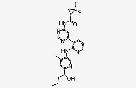 CCC[C@H](O)c1cc(C)c(Nc2ncccc2-c2cc(NC(=O)[C@H]3CC3(F)F)ncn2)cn1